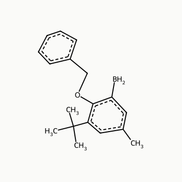 Bc1cc(C)cc(C(C)(C)C)c1OCc1ccccc1